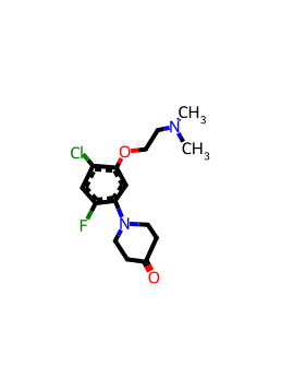 CN(C)CCOc1cc(N2CCC(=O)CC2)c(F)cc1Cl